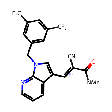 CNC(=O)/C(C#N)=C/c1cn(Cc2cc(C(F)(F)F)cc(C(F)(F)F)c2)c2ncccc12